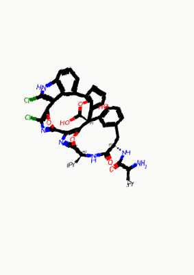 CC(C)C(N)C(=O)N[C@H]1Cc2ccc(O)c(c2)[C@]23c4cccc(c4OC2O)-c2cccc4[nH]c(Cl)c(c24)-c2oc(nc2Cl)-c2nc(oc23)[C@H](C(C)C)NC1=O